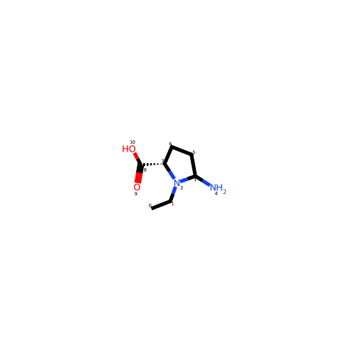 CCN1C(N)CC[C@H]1C(=O)O